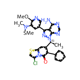 COc1ncc(-c2nn([C@@H](C)c3cc4scc(Cl)n4c(=O)c3-c3ccccc3)c3ncnc(N)c23)cc1N(C)SC